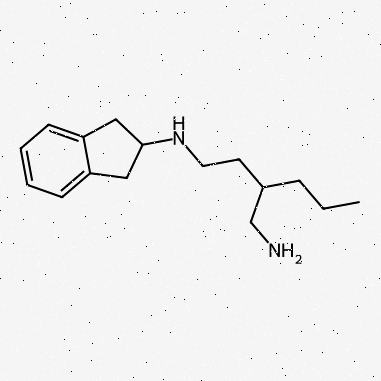 CCCC(CN)CCNC1Cc2ccccc2C1